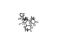 Cc1c(-c2cnccc2-c2cccnc2)cnn1CC(F)(F)F